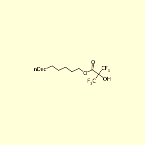 CCCCCCCCCCCCCCCOC(=O)C(O)(C(F)(F)F)C(F)(F)F